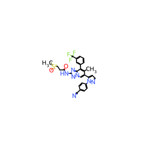 Cc1c(-c2ccnn2-c2ccc(C#N)cc2)cn2nc(NC(=O)CC[S+](C)[O-])nc2c1-c1cccc(C(F)(F)F)c1